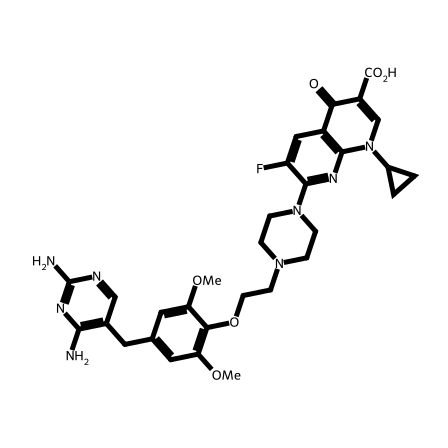 COc1cc(Cc2cnc(N)nc2N)cc(OC)c1OCCN1CCN(c2nc3c(cc2F)c(=O)c(C(=O)O)cn3C2CC2)CC1